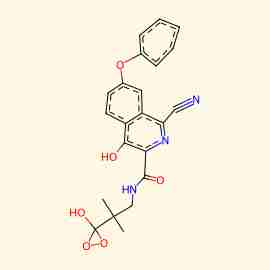 CC(C)(CNC(=O)c1nc(C#N)c2cc(Oc3ccccc3)ccc2c1O)C1(O)OO1